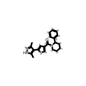 Cc1n[nH]c(C)c1-c1cc(C(=O)N2CCCCC2c2ccccc2)cs1